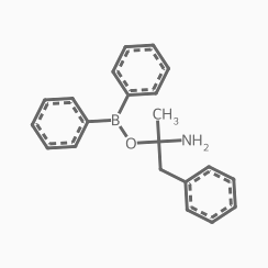 CC(N)(Cc1ccccc1)OB(c1ccccc1)c1ccccc1